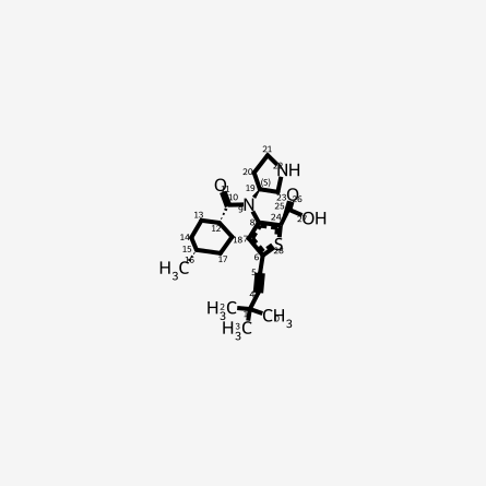 CC(C)(C)C#Cc1cc(N(C(=O)[C@H]2CC[C@@H](C)CC2)[C@H]2CCNC2)c(C(=O)O)s1